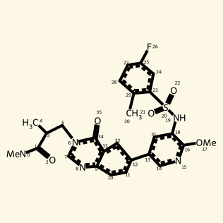 CNC(=O)C(C)Cn1cnc2ccc(-c3cnc(OC)c(NS(=O)(=O)c4cc(F)ccc4C)c3)cc2c1=O